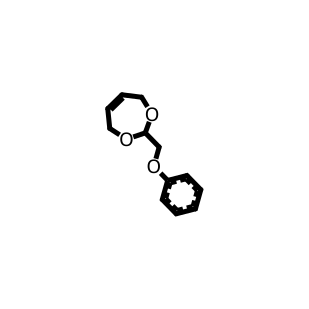 C1=CCOC(COc2ccccc2)OC1